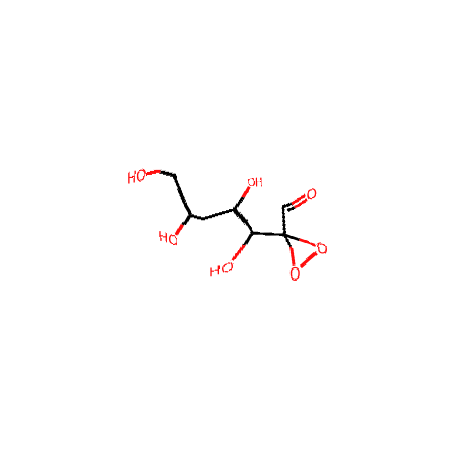 O=CC1(C(O)C(O)C(O)CO)OO1